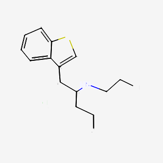 CCCNC(CCC)Cc1csc2ccccc12.Cl